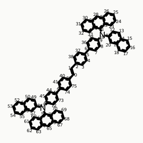 C(=C\c1ccc(-c2ccc(N(c3ccc4ccccc4c3)c3c4ccccc4cc4ccccc34)cc2)cc1)/c1ccc(-c2ccc(N(c3ccc4ccccc4c3)c3c4ccccc4cc4ccccc34)cc2)cc1